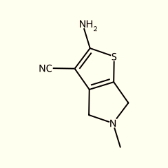 CN1Cc2sc(N)c(C#N)c2C1